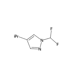 CC(C)c1cnn(C(F)F)c1